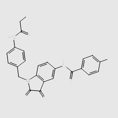 O=C(CCl)Nc1ccc(CN2C(=O)C(=O)c3cc(NC(=O)c4ccc(Cl)cc4)ccc32)cc1